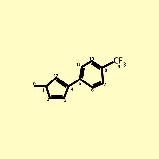 CC1C=CC(c2ccc(C(F)(F)F)cc2)=C1